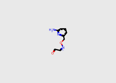 Nc1cccc(CO/N=C\[C]=O)n1